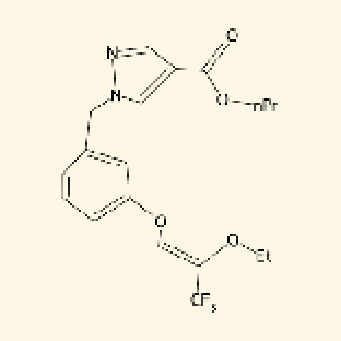 CCCOC(=O)c1cnn(Cc2cccc(O/C=C(\OCC)C(F)(F)F)c2)c1